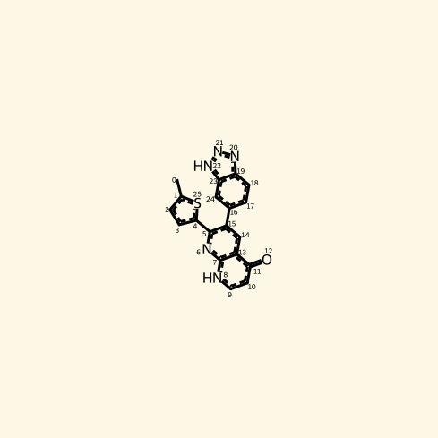 Cc1ccc(-c2nc3[nH]ccc(=O)c3cc2-c2ccc3nn[nH]c3c2)s1